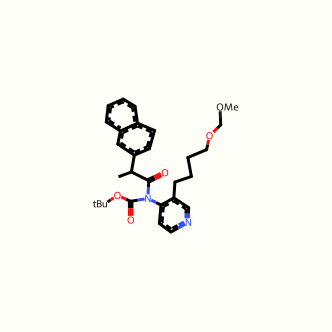 COCOCCCCc1cnccc1N(C(=O)OC(C)(C)C)C(=O)C(C)c1ccc2ccccc2c1